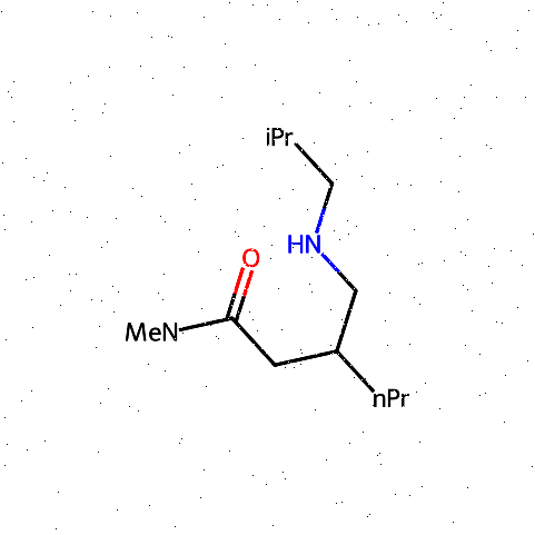 CCCC(CNCC(C)C)CC(=O)NC